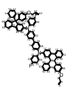 C=CCOc1ccc(Cc2ccccc2-c2ccc(N(c3ccc(F)cc3)c3ccc(-c4ccc(N(c5ccc(F)cc5)c5ccc6c(c5)C(c5ccccc5)(c5ccc(OCC=C)cc5)c5ccccc5-6)cc4)cc3)cc2Cc2ccccc2)cc1